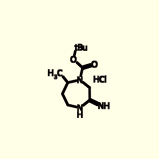 CC1CCNC(=N)CN1C(=O)OC(C)(C)C.Cl